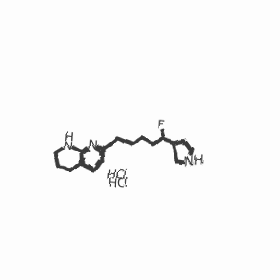 Cl.Cl.FC(CCCCc1ccc2c(n1)NCCC2)C1CCNC1